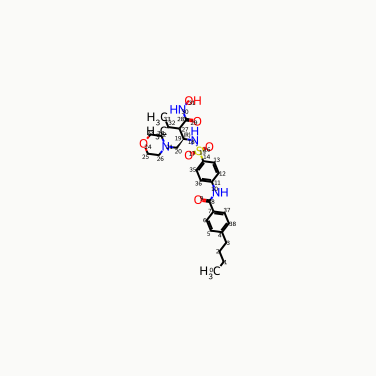 CCCCc1ccc(C(=O)Nc2ccc(S(=O)(=O)N[C@@H](CN3CCOCC3)C(C(=O)NO)C(C)C)cc2)cc1